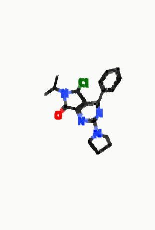 CC(C)N1C(=O)c2nc(N3CCCC3)nc(-c3ccccc3)c2C1Cl